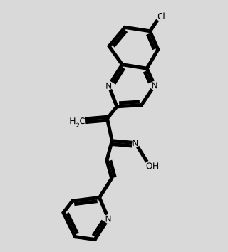 C=C(C(C=Cc1ccccn1)=NO)c1cnc2cc(Cl)ccc2n1